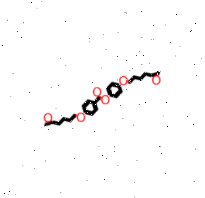 O=C(Oc1ccc(OCCCCC2CO2)cc1)c1ccc(OCCCCC2CO2)cc1